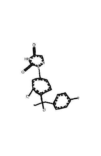 CC(Cl)(c1ccc(F)cc1)c1ccc(-n2ncc(=O)[nH]c2=O)cc1Cl